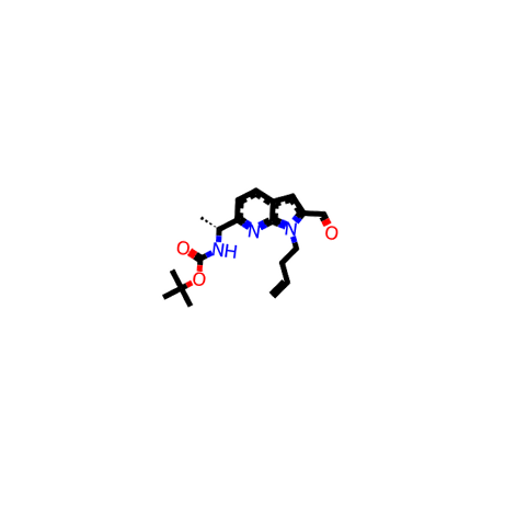 C=CCCn1c(C=O)cc2ccc([C@@H](C)NC(=O)OC(C)(C)C)nc21